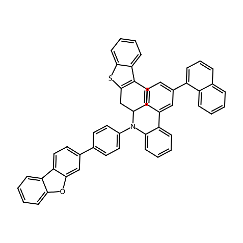 C1=CC(N(c2ccc(-c3ccc4c(c3)oc3ccccc34)cc2)c2ccccc2-c2cccc(-c3cccc4ccccc34)c2)Cc2sc3ccccc3c21